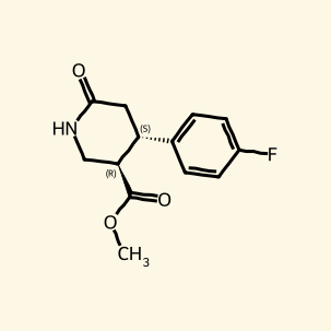 COC(=O)[C@H]1CNC(=O)C[C@@H]1c1ccc(F)cc1